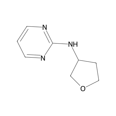 c1cnc(NC2CCOC2)nc1